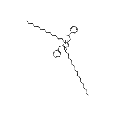 CCCCCCCCCCCCCCCCn1cc(CC(C)c2ccccc2)[n+](CCCCCCCCCCCCC)c1Cc1ccccc1